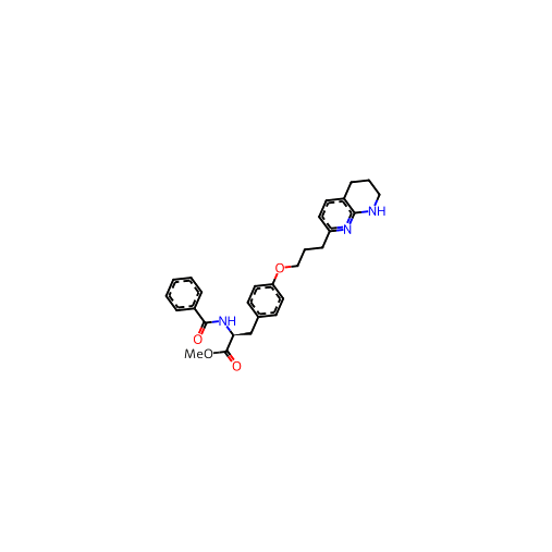 COC(=O)[C@H](Cc1ccc(OCCCc2ccc3c(n2)NCCC3)cc1)NC(=O)c1ccccc1